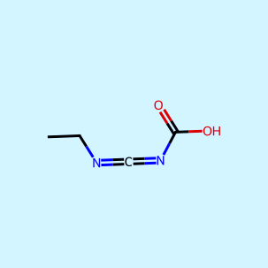 CCN=C=NC(=O)O